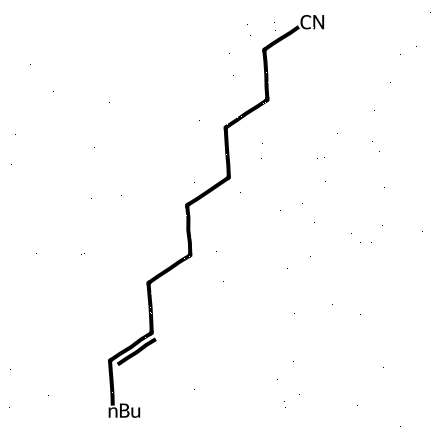 CCCCC=CCCCCCCCC#N